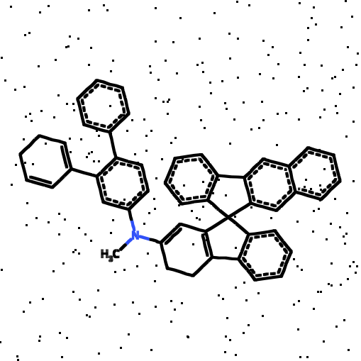 CN(C1=CC2=C(CC1)c1ccccc1C21c2ccccc2-c2cc3ccccc3cc21)c1ccc(-c2ccccc2)c(C2=CCCC=C2)c1